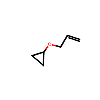 C=CCOC1CC1